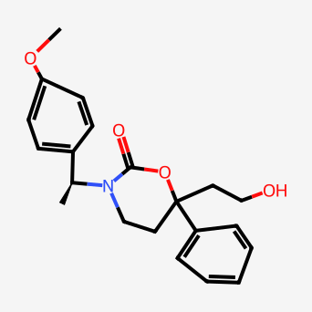 COc1ccc([C@H](C)N2CCC(CCO)(c3ccccc3)OC2=O)cc1